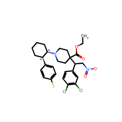 CCOC(=O)C1(C(C[N+](=O)[O-])c2ccc(Cl)c(Cl)c2)CCN([C@@H]2CCCC[C@@H]2c2ccc(F)cc2)CC1